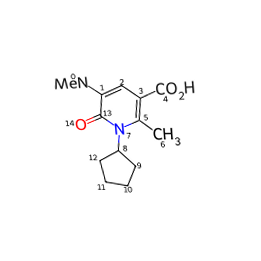 CNc1cc(C(=O)O)c(C)n(C2CCCC2)c1=O